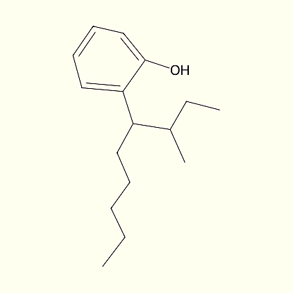 CCCCCC(c1ccccc1O)C(C)CC